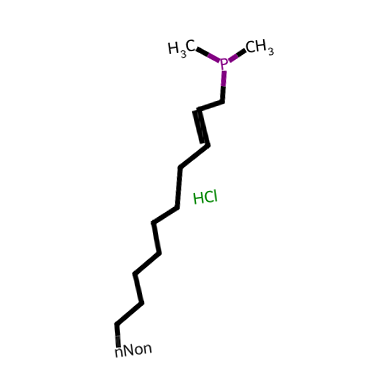 CCCCCCCCCCCCCCCCC=CCP(C)C.Cl